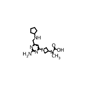 CN(C(=O)O)C1CN(c2cc(CNC3CCCC3)nc(N)n2)C1